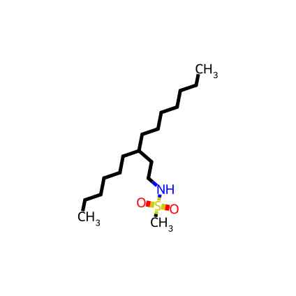 CCCCCCCC(CCCCCC)CCNS(C)(=O)=O